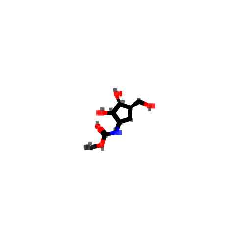 CC(C)(C)OC(=O)NC1C[C@H](CO)[C@@H](O)C1O